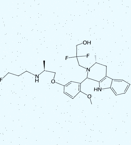 COc1ccc(OC[C@H](C)NCCCF)cc1C1c2[nH]c3ccccc3c2C[C@@H](C)N1CC(F)(F)CO